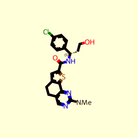 CNc1ncc2c(n1)-c1sc(C(=O)N[C@@H](CCO)c3ccc(Cl)cc3)cc1CC2